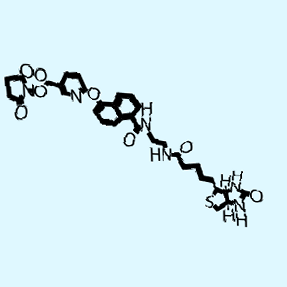 O=C(CCCC[C@@H]1SC[C@@H]2NC(=O)N[C@@H]21)NCCNC(=O)c1cccc2c(Oc3ccc(C(=O)ON4C(=O)CCC4=O)cn3)cccc12